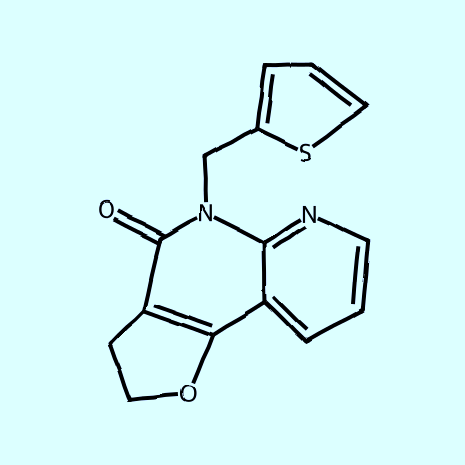 O=c1c2c(c3cccnc3n1Cc1cccs1)OCC2